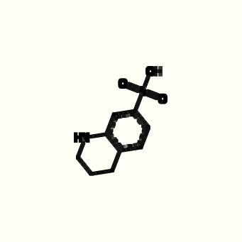 O=S(=O)(O)c1ccc2c(c1)NCCC2